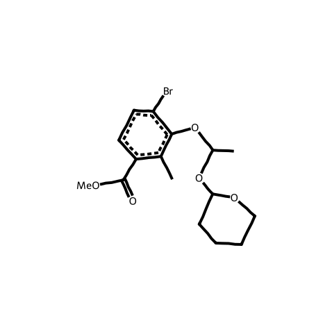 COC(=O)c1ccc(Br)c(OC(C)OC2CCCCO2)c1C